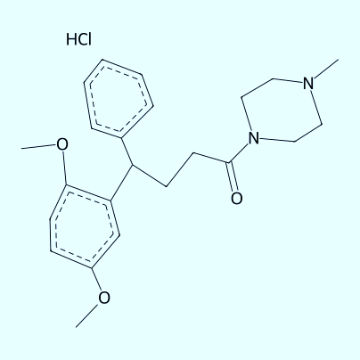 COc1ccc(OC)c(C(CCC(=O)N2CCN(C)CC2)c2ccccc2)c1.Cl